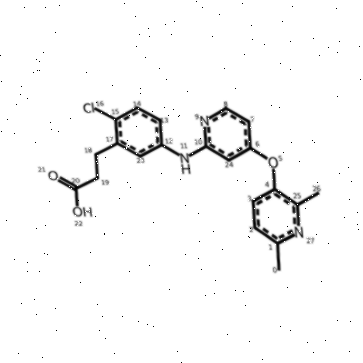 Cc1ccc(Oc2ccnc(Nc3ccc(Cl)c(CCC(=O)O)c3)c2)c(C)n1